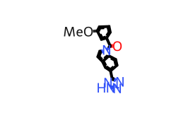 COc1cccc(C(=O)n2ccc3cc(-c4nn[nH]n4)ccc32)c1